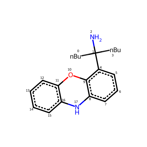 CCCCC(N)(CCCC)c1cccc2c1Oc1ccccc1N2